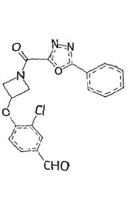 O=Cc1ccc(OC2CN(C(=O)c3nnc(-c4ccccc4)o3)C2)c(Cl)c1